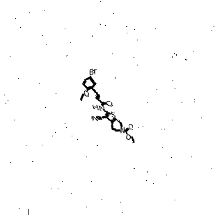 CCOC(=O)N1CCc2c(sc(NC(=O)C=Cc3cc(Br)ccc3OCC)c2C#N)C1